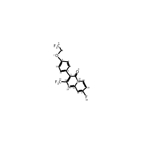 O=c1c(-c2ccc(OCC(F)(F)F)cc2)c(C(F)(F)F)nc2cc(F)ccn12